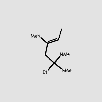 CC=C(CC(CC)(NC)NC)NC